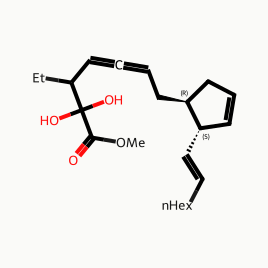 CCCCCCC=C[C@H]1C=CC[C@@H]1CC=C=CC(CC)C(O)(O)C(=O)OC